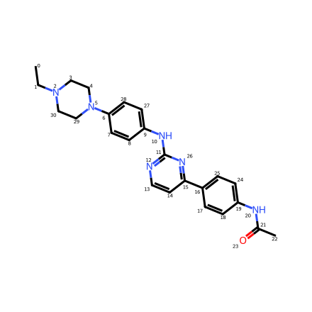 CCN1CCN(c2ccc(Nc3nccc(-c4ccc(NC(C)=O)cc4)n3)cc2)CC1